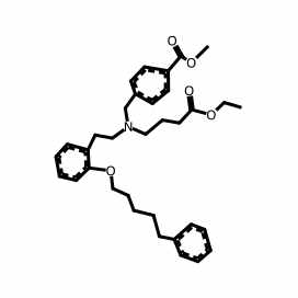 CCOC(=O)CCCN(CCc1ccccc1OCCCCCc1ccccc1)Cc1ccc(C(=O)OC)cc1